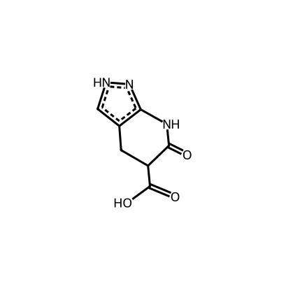 O=C(O)C1Cc2c[nH]nc2NC1=O